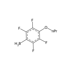 Bc1c(F)c(F)c(OCCC)c(F)c1F